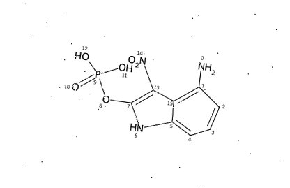 Nc1cccc2[nH]c(OP(=O)(O)O)c([N+](=O)[O-])c12